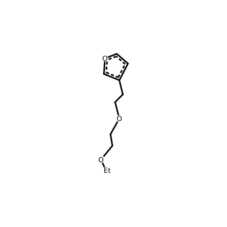 CCOCCOCCc1ccoc1